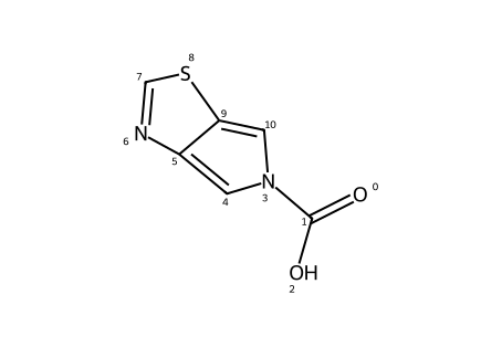 O=C(O)n1cc2ncsc2c1